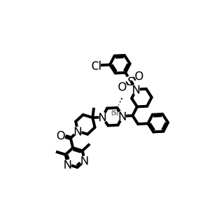 Cc1ncnc(C)c1C(=O)N1CCC(C)(N2CCN(C(Cc3ccccc3)C3CCCN(S(=O)(=O)c4cccc(Cl)c4)C3)[C@@H](C)C2)CC1